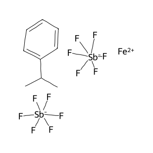 CC(C)c1ccccc1.[F][Sb-]([F])([F])([F])([F])[F].[F][Sb-]([F])([F])([F])([F])[F].[Fe+2]